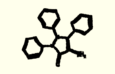 Nc1c(-c2ccccc2)n(-c2ccccc2)n(-c2ccccc2)c1=O